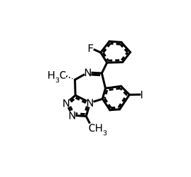 Cc1nnc2n1-c1ccc(I)cc1C(c1ccccc1F)=N[C@H]2C